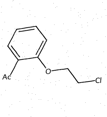 CC(=O)c1ccccc1OCCCl